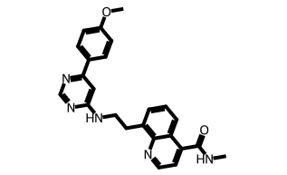 CNC(=O)c1ccnc2c(CCNc3cc(-c4ccc(OC)cc4)ncn3)cccc12